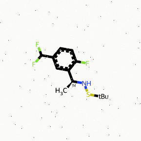 C[C@H](NSC(C)(C)C)c1cc(C(F)F)ccc1F